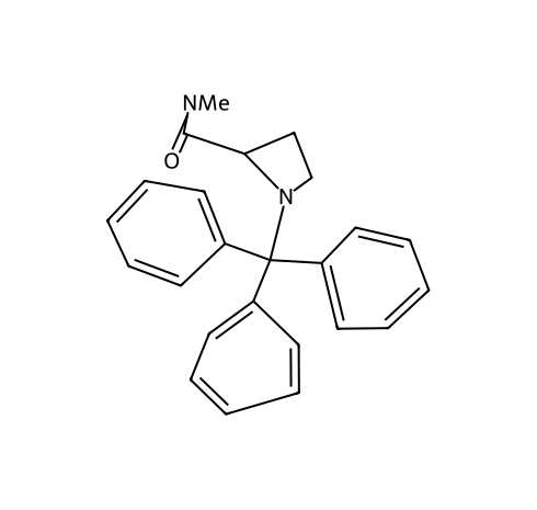 CNC(=O)C1CCN1C(c1ccccc1)(c1ccccc1)c1ccccc1